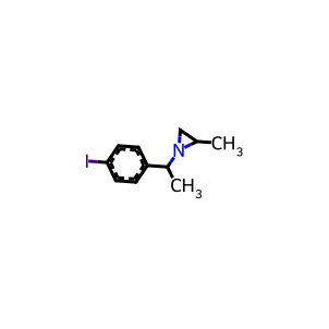 CC1CN1C(C)c1ccc(I)cc1